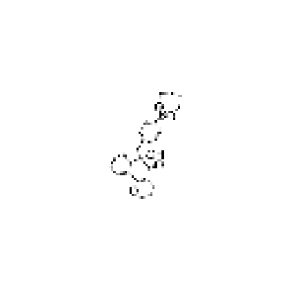 O=C1C2=C(OCCC2)c2ccccc2C1(O)Cc1ccc(B2OCCCCO2)cc1